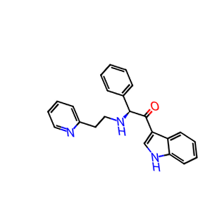 O=C(c1c[nH]c2ccccc12)[C@@H](NCCc1ccccn1)c1ccccc1